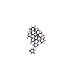 c1ccc(-c2ccc(N(c3ccc(-c4cc5ccccc5c5ccccc45)c4ccccc34)c3cccc4oc5cc6ccccc6cc5c34)cc2)cc1